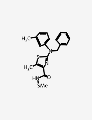 CSNC(=O)c1nc(N(Cc2ccccc2)c2cccc(C)c2)sc1C